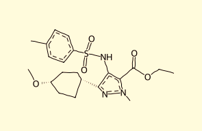 CCOC(=O)c1c(NS(=O)(=O)c2ccc(C)cc2)c([C@H]2CC[C@@H](OC)CC2)nn1C